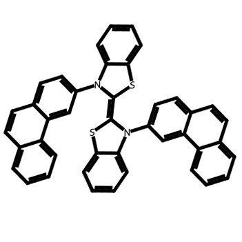 c1ccc2c(c1)S/C(=C1/Sc3ccccc3N1c1ccc3ccc4ccccc4c3c1)N2c1ccc2ccc3ccccc3c2c1